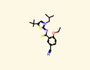 CCOc1ccc(C#N)cc1C(=S)N=c1sc(C(C)(C)C)cn1CC(C)C